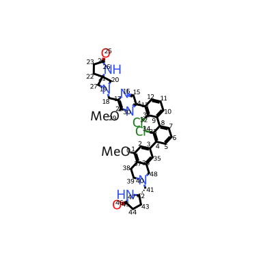 COc1cc(-c2cccc(-c3cccc(-c4cnc(CN5CC6(CCC(=O)N6)C5)c(OC)n4)c3Cl)c2Cl)cc2c1CCN(C[C@@H]1CCC(=O)N1)C2